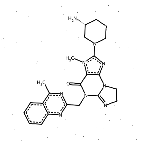 Cc1nc(CN2C(=O)c3c(nc(N4CCC[C@@H](N)C4)n3C)N3CCN=C23)nc2ccccc12